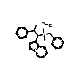 CC(c1ccccc1)C(c1ccn2ccccc12)[N+](C)(C)Cc1ccccc1.O=[N+]([O-])[O-]